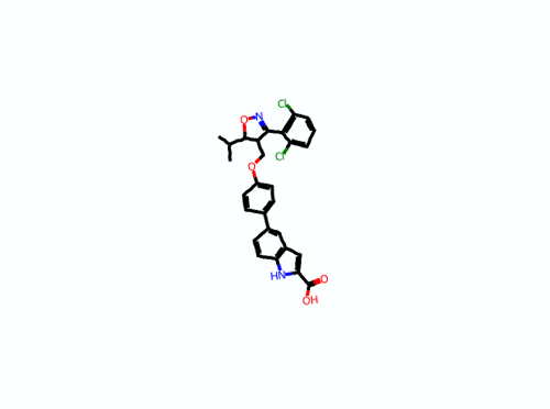 CC(C)C1ON=C(c2c(Cl)cccc2Cl)C1COc1ccc(-c2ccc3[nH]c(C(=O)O)cc3c2)cc1